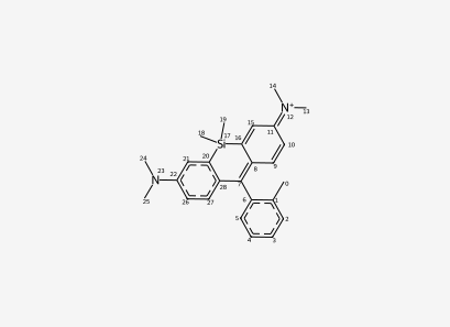 Cc1ccccc1C1=C2C=CC(=[N+](C)C)C=C2[Si](C)(C)c2cc(N(C)C)ccc21